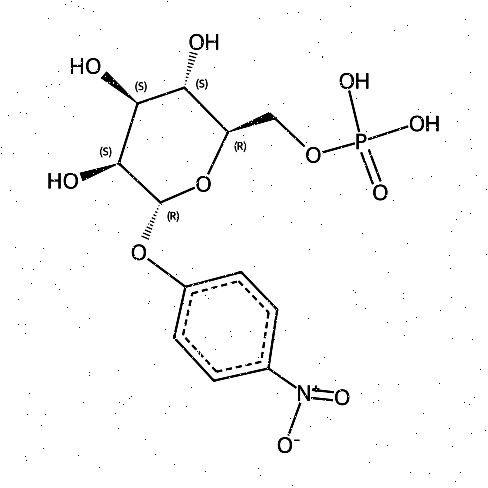 O=[N+]([O-])c1ccc(O[C@H]2O[C@H](COP(=O)(O)O)[C@@H](O)[C@H](O)[C@@H]2O)cc1